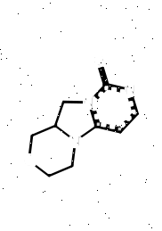 O=c1nccc2n1CC1COCCN21